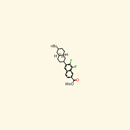 CCCCC1CC[C@@H]2CC(c3cc4ccc(C(=O)OC)cc4c(F)c3F)CC[C@H]2C1